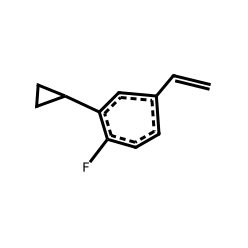 C=Cc1ccc(F)c(C2CC2)c1